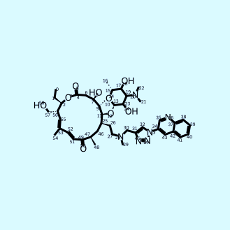 CC[C@H]1OC(=O)C[C@@H](O)[C@H](C)[C@@H](O[C@@H]2O[C@H](C)C(O)C(N(C)C)C2O)[C@@H](CCN(C)Cc2cn(-c3cnc4ccccc4c3)nn2)C[C@@H](C)C(=O)/C=C/C(C)=C/[C@@H]1CO